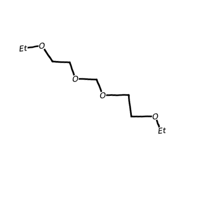 CCOCCOCOCCOCC